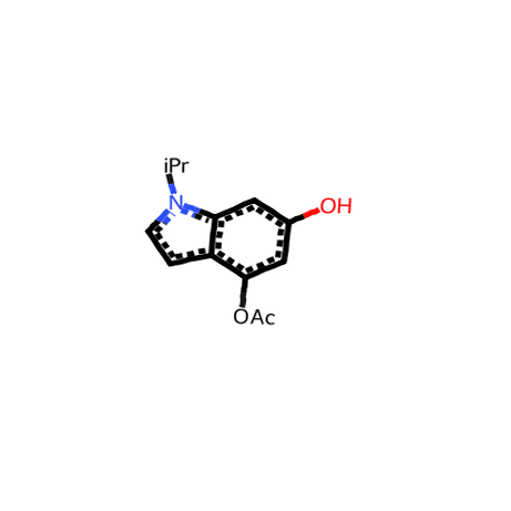 CC(=O)Oc1cc(O)cc2c1ccn2C(C)C